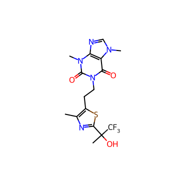 Cc1nc(C(C)(O)C(F)(F)F)sc1CCn1c(=O)c2c(ncn2C)n(C)c1=O